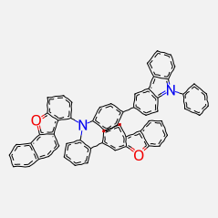 c1ccc(-n2c3ccccc3c3cc(-c4ccc(N(c5ccccc5-c5ccc6c(c5)oc5ccccc56)c5cccc6oc7c8ccccc8ccc7c56)cc4)ccc32)cc1